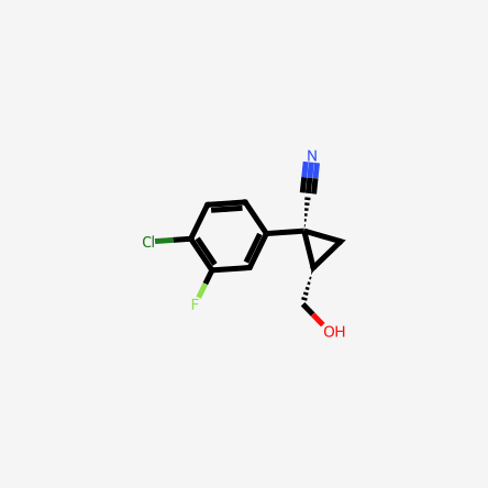 N#C[C@]1(c2ccc(Cl)c(F)c2)C[C@@H]1CO